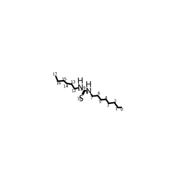 CCCCCCCCNC(=S)NCCCCCC